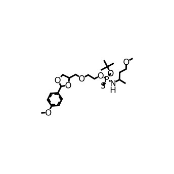 COCCC(C)NP(=S)(OCCOCC1COC(c2ccc(OC)cc2)O1)OC(C)(C)C